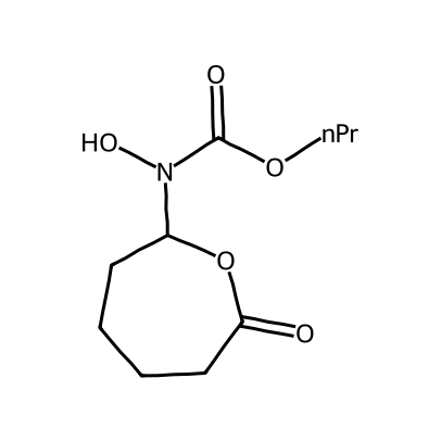 CCCOC(=O)N(O)C1CCCCC(=O)O1